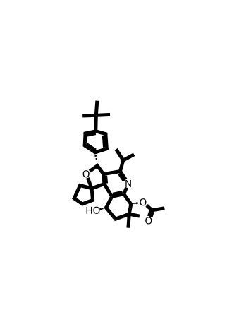 CC(=O)O[C@H]1c2nc(C(C)C)c3c(c2[C@@H](O)CC1(C)C)C1(CCCC1)O[C@@H]3c1ccc(C(C)(C)C)cc1